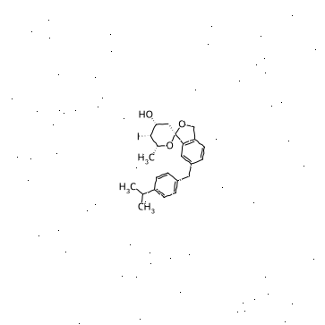 CC(C)c1ccc(Cc2ccc3c(c2)[C@]2(C[C@@H](O)[C@@H](I)[C@@H](C)O2)OC3)cc1